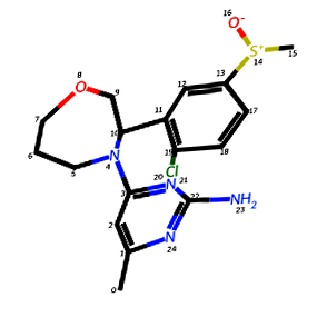 Cc1cc(N2CCCOCC2c2cc([S+](C)[O-])ccc2Cl)nc(N)n1